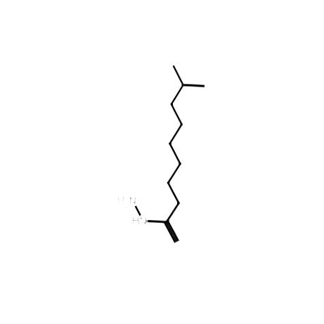 C=C(CCCCCCC(C)C)NN